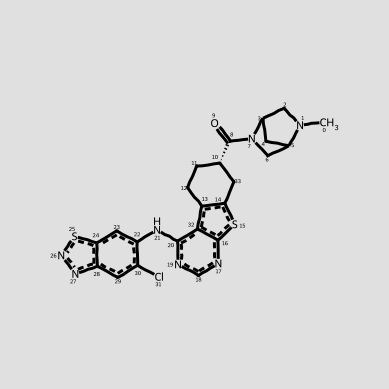 CN1CC2CC1CN2C(=O)[C@H]1CCc2c(sc3ncnc(Nc4cc5snnc5cc4Cl)c23)C1